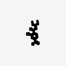 CSC(=NC(=O)c1ccc([N+](=O)[O-])cc1Cl)SC